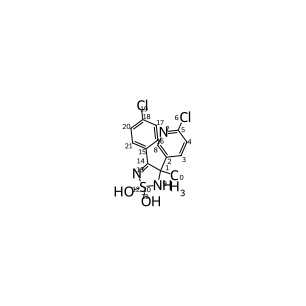 CC1(c2ccc(Cl)nc2)NS(O)(O)N=C1c1ccc(Cl)cc1